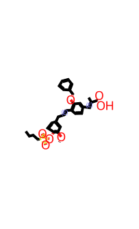 CCCCS(=O)(=O)Oc1ccc(C/C=C/c2ccc(/C=C(\C)C(=O)O)cc2OCc2ccccc2)cc1OC